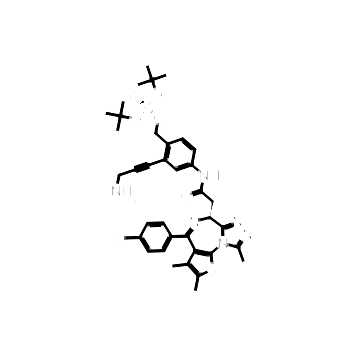 Cc1sc2c(c1C)C(c1ccc(Cl)cc1)=N[C@@H](CC(=O)Nc1ccc(COP(=O)(OC(C)(C)C)OC(C)(C)C)c(C#CCN)c1)c1nnc(C)n1-2